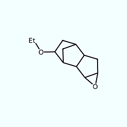 [CH2]COC1CC2CC1C1C2CC2OC21